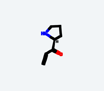 C=CC(=O)[C@@H]1CCCN1